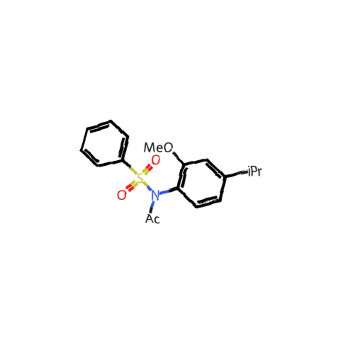 COc1cc(C(C)C)ccc1N(C(C)=O)S(=O)(=O)c1ccccc1